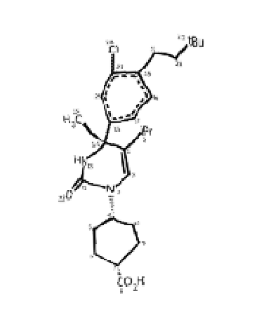 CC(C)C1=CN([C@H]2CC[C@@H](C(=O)O)CC2)C(=O)N[C@]1(C)c1ccc(CCC(C)(C)C)c(Cl)c1